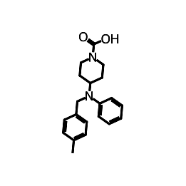 Cc1ccc(CN(c2ccccc2)C2CCN(C(=O)O)CC2)cc1